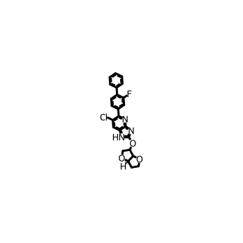 Fc1cc(-c2nc3nc(OC4CO[C@@H]5CCOC45)[nH]c3cc2Cl)ccc1-c1ccccc1